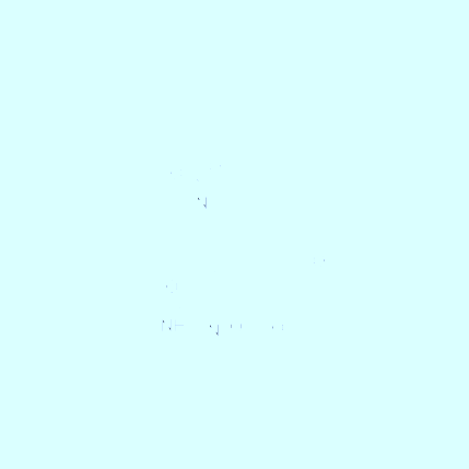 CCNC(=O)c1noc(-c2cc(C(C)C)c(OC)cc2OC)c1C1=CC2CN(C(=O)OC(C)(C)C)CC2C1